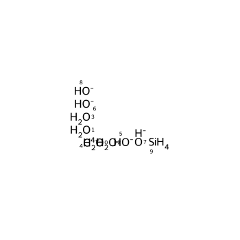 O.O.O.O.[C+4].[OH-].[OH-].[OH-].[OH-].[SiH4]